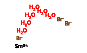 O.O.O.O.O.O.[Br-].[Br-].[Br-].[Sm+3]